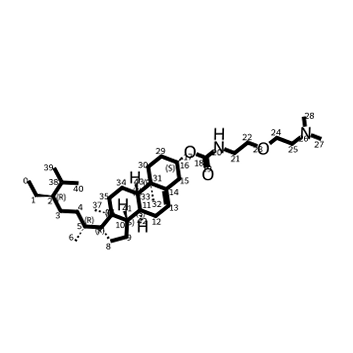 CC[C@H](CC[C@@H](C)[C@H]1CC[C@H]2[C@@H]3CC=C4C[C@@H](OC(=O)NCCOCCN(C)C)CC[C@]4(C)[C@H]3CC[C@]12C)C(C)C